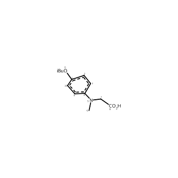 CC(C)COc1ccc(N(C)CC(=O)O)cc1